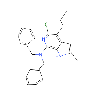 CCCc1c(Cl)nc(N(Cc2ccccc2)Cc2ccccc2)c2[nH]c(C)cc12